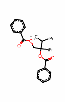 CC(C)C(C)C(COC(=O)c1ccccc1)(OC(=O)c1ccccc1)C(C)C